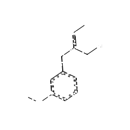 C/C=C(\CN)Cc1cccc(OCC)c1